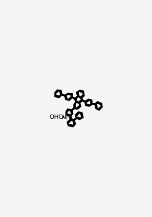 O=CNc1ccc(-c2ccc3c(-c4ccc(-c5ccccc5)cc4)c4ccccc4c(-c4ccc(-c5ccccc5)cc4)c3c2)cc1-c1ccccc1-c1ccccc1